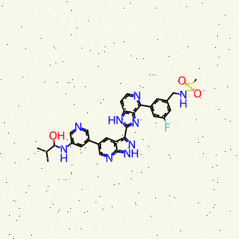 CC(C)C(O)Nc1cncc(-c2cnc3[nH]nc(-c4nc5c(-c6cc(F)cc(CNS(C)(=O)=O)c6)nccc5[nH]4)c3c2)c1